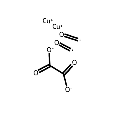 O=C([O-])C(=O)[O-].[C]=O.[C]=O.[Cu+].[Cu+]